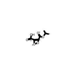 CC(C)OC(=O)c1ooc1C(=O)O